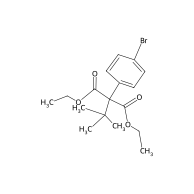 CCOC(=O)C(C(=O)OCC)(c1ccc(Br)cc1)C(C)(C)C